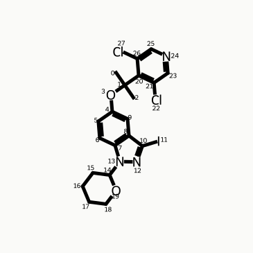 CC(C)(Oc1ccc2c(c1)c(I)nn2C1CCCCO1)c1c(Cl)cncc1Cl